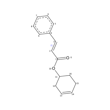 O=C(/C=C/c1ccccc1)OC1CC=CCC1